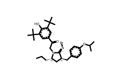 CCC[C@H]1C[C@H](Cc2ccc(OC(C)C)cc2)/C(=N/Br)N1CC(=O)c1cc(C(C)(C)C)c(O)c(C(C)(C)C)c1